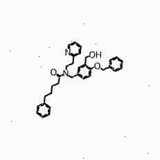 O=C(CCCCc1ccccc1)N(CCc1ccccn1)Cc1ccc(OCc2ccccc2)c(CO)c1